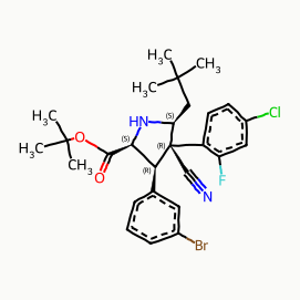 CC(C)(C)C[C@@H]1N[C@H](C(=O)OC(C)(C)C)[C@H](c2cccc(Br)c2)[C@@]1(C#N)c1ccc(Cl)cc1F